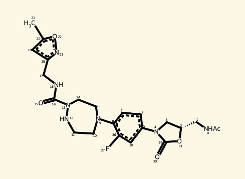 CC(=O)NC[C@H]1CN(c2ccc(N3CCNN(C(=O)NCc4cc(C)on4)CC3)c(F)c2)C(=O)O1